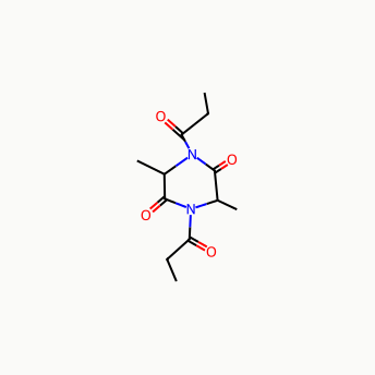 CCC(=O)N1C(=O)C(C)N(C(=O)CC)C(=O)C1C